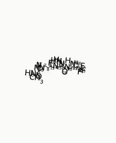 CNC(=O)c1cn(CCC(F)CN/C=C(\N=N)C(=O)NCc2cc(C(F)(F)F)ccn2)nn1